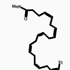 CC/C=C\C/C=C\C/C=C\C/C=C\C/C=C\C/C=C\CCC(=O)NC